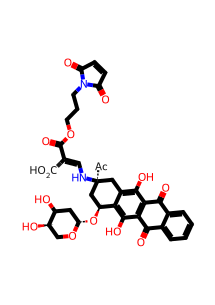 CC(=O)[C@]1(N/C=C(\C(=O)O)C(=O)OCCCN2C(=O)C=CC2=O)Cc2c(O)c3c(c(O)c2[C@@H](O[C@H]2CC(O)[C@H](O)CO2)C1)C(=O)c1ccccc1C3=O